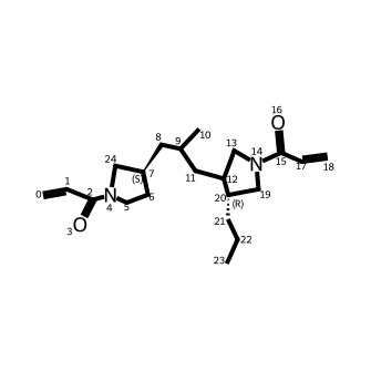 C=CC(=O)N1CC[C@H](CC(C)CC2CN(C(=O)C=C)C[C@@H]2CCC)C1